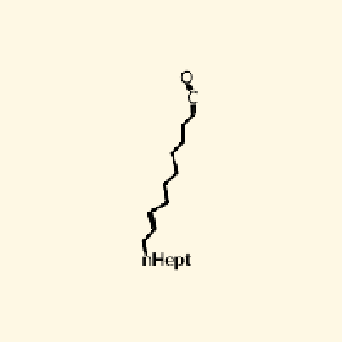 CCCCCCCCC=CCCCCCCC=C=O